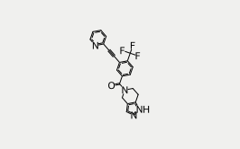 O=C(c1ccc(C(F)(F)F)c(C#Cc2ccccn2)c1)N1CCc2[nH]ncc2C1